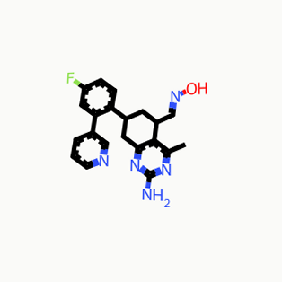 Cc1nc(N)nc2c1C(C=NO)CC(c1ccc(F)cc1-c1cccnc1)C2